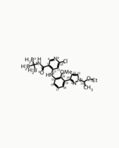 BC(B)(B)NC(=O)c1cnc(Cl)cc1Nc1cccc(-c2ccn(C(C)OCC)n2)c1OC